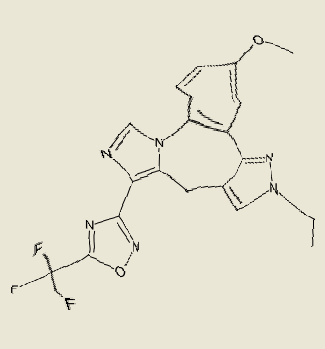 CCn1cc2c(n1)-c1cc(OC)ccc1-n1cnc(-c3noc(C(F)(F)F)n3)c1C2